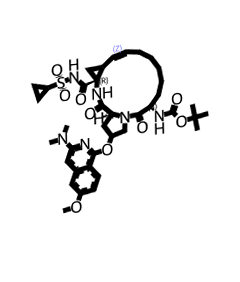 COc1ccc2c(OC3C[C@H]4C(=O)N[C@]5(C(=O)NS(=O)(=O)C6CC6)CC5/C=C\CCCCC[C@H](NC(=O)OC(C)(C)C)C(=O)N4C3)nc(N(C)C)cc2c1